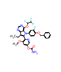 CCc1c(-c2ncc(OC(N)=O)cc2OC)n(-c2ccc(OCc3ccccc3)c(F)c2)c2c(OC(F)C(F)F)ncnc12